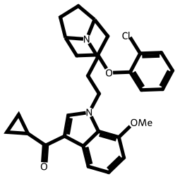 COc1cccc2c(C(=O)C3CC3)cn(CCCN3C4CCC3CC(Oc3ccccc3Cl)C4)c12